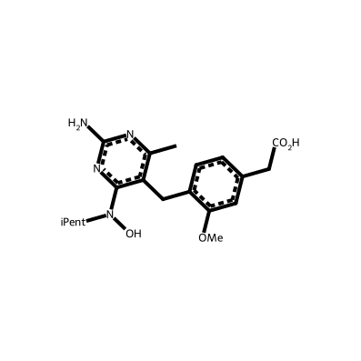 CCCC(C)N(O)c1nc(N)nc(C)c1Cc1ccc(CC(=O)O)cc1OC